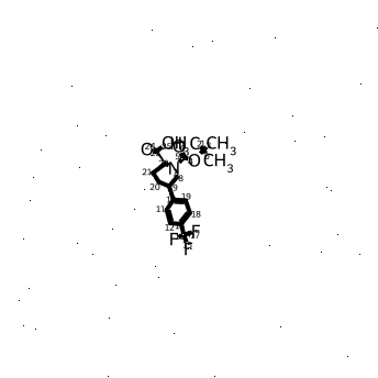 CC(C)(C)OC(=O)N1CC(c2ccc(C(F)(F)F)cc2)CC[C@H]1C(=O)O